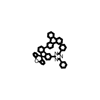 c1ccc(-c2nc(-c3ccccc3)nc(-c3ccc4c(c3)-c3c(-c5ccc6c7ccccc7c7ccccc7c6c5)cccc3C43c4ccccc4Oc4ccccc43)n2)cc1